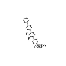 CCCCCCCCCC1(CCCCCCCC)C=CC(c2ccc(-c3ccc(-c4ccccc4)cc3)c(F)c2F)=CC1